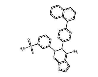 NC1=c2ccoc2=NC(c2cccc(S(N)(=O)=O)c2)N1c1ccc(-c2cccc3ccccc23)cc1